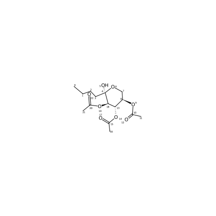 CCCC[C@@]1(O)OC[C@@H](OC(C)=O)[C@H](OC(C)=O)[C@H]1OC(C)=O